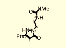 CCc1cc(=O)n(CCNC(=O)NC)[nH]1